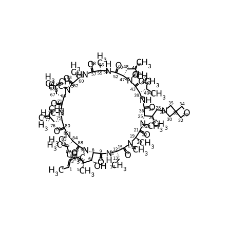 C/C=C/C[C@@H](C)[C@@H](O)[C@H]1C(=O)N[C@@H](CC)C(=O)N(C)[C@H](C)C(=O)N(C)[C@@H]([C@H](C)CN2CC3(COC3)C2)C(=O)N[C@@H](C(C)C)C(=O)N(C)[C@@H](CC(C)C)C(=O)N[C@@H](C)C(=O)N[C@H](C)C(=O)N(C)[C@@H](CC(C)C)C(=O)N(C)[C@@H](CC(C)C)C(=O)N(C)[C@@H](C(C)C)C(=O)N1C